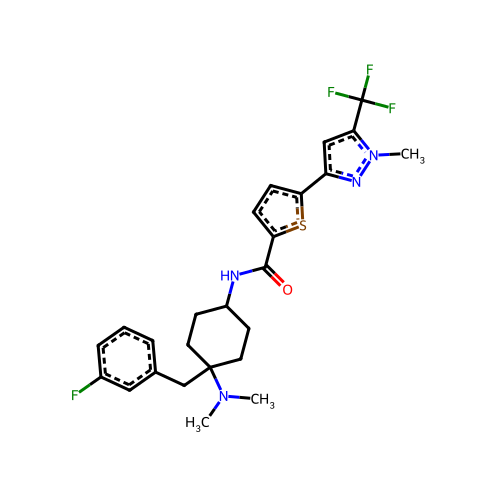 CN(C)C1(Cc2cccc(F)c2)CCC(NC(=O)c2ccc(-c3cc(C(F)(F)F)n(C)n3)s2)CC1